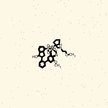 COCCNCC1(NN2C=c3cc(-c4ccccc4C4Cc5c(cccc5S(N)(=O)=O)C4O)cc(OC)c3=NC2)CCCC1